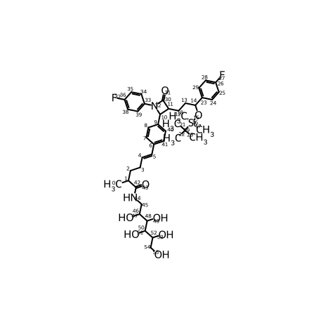 CC(CC/C=C/c1ccc(C2C(CCC(O[Si](C)(C)C(C)(C)C)c3ccc(F)cc3)C(=O)N2c2ccc(F)cc2)cc1)C(=O)NCC(O)C(O)C(O)C(O)CO